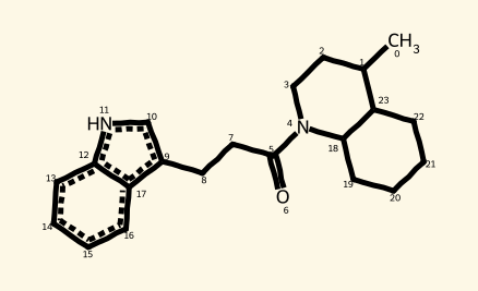 CC1CCN(C(=O)CCc2c[nH]c3ccccc23)C2CCCCC12